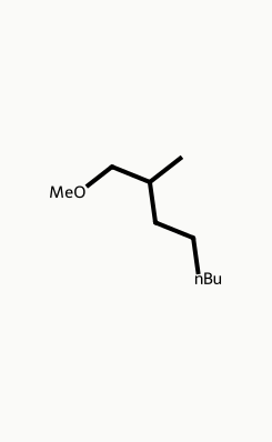 [CH2]OCC(C)CCCCCC